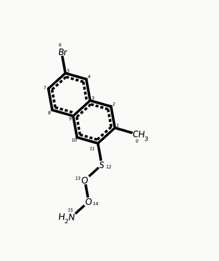 Cc1cc2cc(Br)ccc2cc1SOON